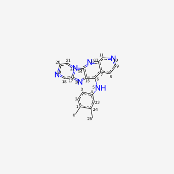 Cc1ccc(Nc2c3ccncc3nc3c2nc2cnccn23)cc1C